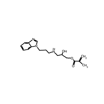 C=C(C)C(=O)OCC(O)CNCCCn1cnc2ccccc21